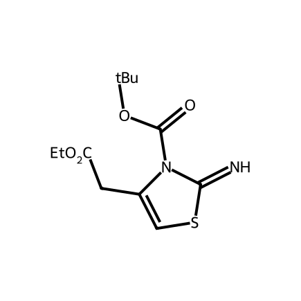 CCOC(=O)Cc1csc(=N)n1C(=O)OC(C)(C)C